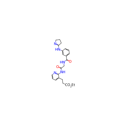 CCOC(=O)CCc1cccnc1NC(=O)CNC(=O)c1cccc(NC2=NCCC2)c1